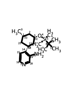 C[C@@H]1C[C@H](O[Si](C)(C)C(C)(C)C)C[C@H](c2ccncc2N)C1